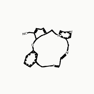 N#CC1=CC=C2CC1Oc1cccc(c1)C/N=C/C=N/Cc1cncn1C2